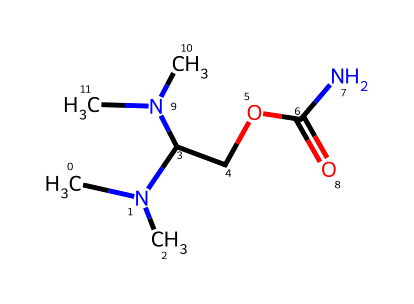 CN(C)C(COC(N)=O)N(C)C